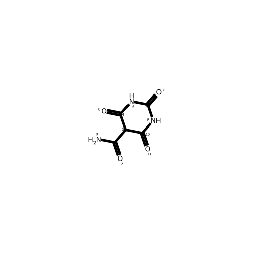 NC(=O)C1C(=O)NC(=O)NC1=O